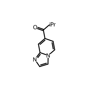 CC(C)C(=O)c1ccn2ccnc2c1